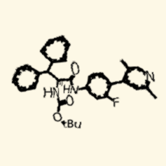 Cc1cc(-c2ccc(NC(=O)[C@@H](NC(=O)OC(C)(C)C)C(c3ccccc3)c3ccccc3)cc2F)c(C)cn1